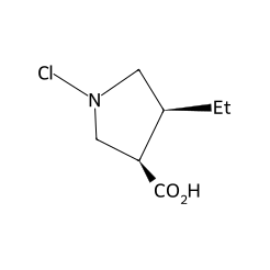 CC[C@@H]1CN(Cl)C[C@@H]1C(=O)O